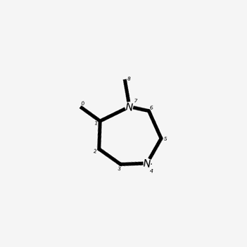 CC1CC[N]CCN1C